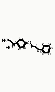 N#CCC(O)c1ccc(OCCCc2ccccc2)cc1